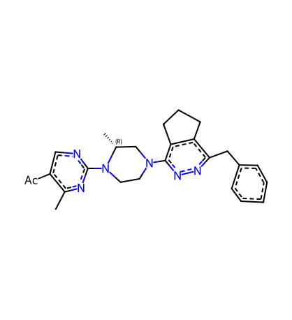 CC(=O)c1cnc(N2CCN(c3nnc(Cc4ccccc4)c4c3CCC4)C[C@H]2C)nc1C